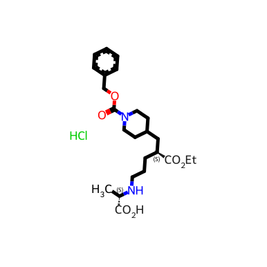 CCOC(=O)[C@@H](CCCN[C@@H](C)C(=O)O)CC1CCN(C(=O)OCc2ccccc2)CC1.Cl